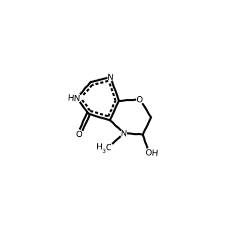 CN1c2c(nc[nH]c2=O)OCC1O